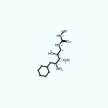 CC(=O)O[C@H]([C@@H](N)CC1CCCCC1)[C@@H](O)CNC(=O)NC(C)C